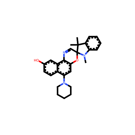 CN1c2ccccc2C(C)(C)C12C=Nc1c(cc(N3CCCCC3)c3ccc(O)cc13)O2